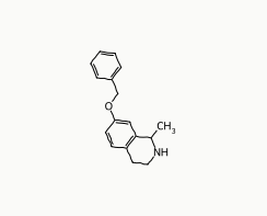 CC1NCCc2ccc(OCc3ccccc3)cc21